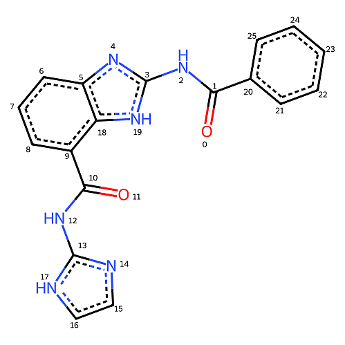 O=C(Nc1nc2cccc(C(=O)Nc3ncc[nH]3)c2[nH]1)c1ccccc1